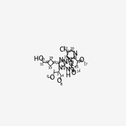 COCC(COC)n1c(NS(=O)(=O)[C@@H](C)[C@H](OC)c2ncc(Cl)cn2)nnc1[C@H]1C[C@H](CO)C1